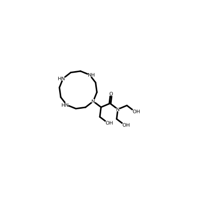 O=C(C(CO)N1CCNCCNCCNCC1)N(CO)CO